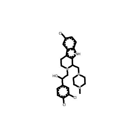 CN1CCN(CC2c3[nH]c4ccc(Cl)cc4c3CCN2CC(O)c2ccc(Cl)c(Cl)c2)CC1